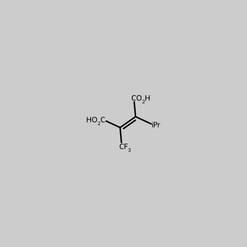 CC(C)C(C(=O)O)=C(C(=O)O)C(F)(F)F